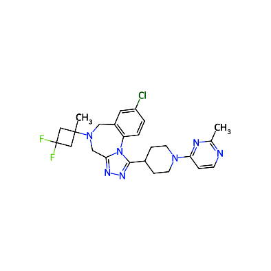 Cc1nccc(N2CCC(c3nnc4n3-c3ccc(Cl)cc3CN(C3(C)CC(F)(F)C3)C4)CC2)n1